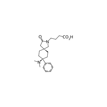 CN(C)[C@]1(c2ccccc2)CC[C@@]2(CC1)CC(=O)N(CCCC(=O)O)C2